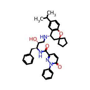 CC(C)c1ccc2c(c1)[C@@H](NC[C@@H](O)[C@H](Cc1ccccc1)NC(=O)c1ccc(=O)n(-c3ccccc3)n1)CC1(CCCC1)O2